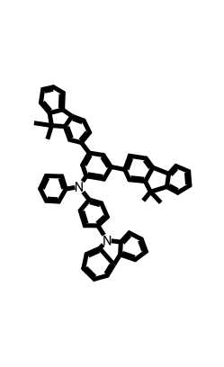 CC1(C)c2ccccc2-c2ccc(-c3cc(-c4ccc5c(c4)C(C)(C)c4ccccc4-5)cc(N(c4ccccc4)c4ccc(-n5c6ccccc6c6ccccc65)cc4)c3)cc21